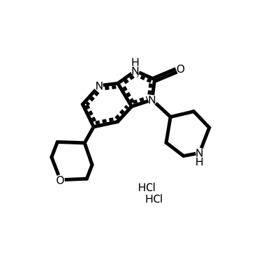 Cl.Cl.O=c1[nH]c2ncc(C3CCOCC3)cc2n1C1CCNCC1